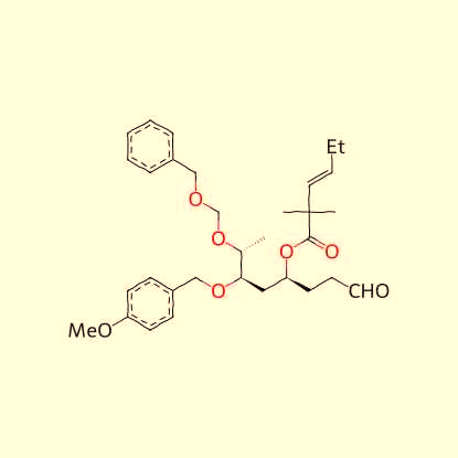 CC/C=C/C(C)(C)C(=O)O[C@@H](CCC=O)C[C@@H](OCc1ccc(OC)cc1)[C@@H](C)OCOCc1ccccc1